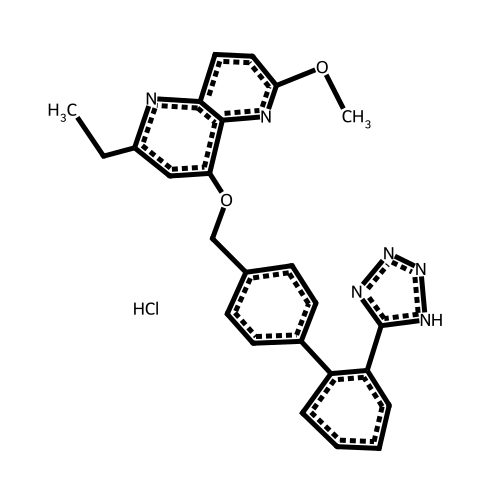 CCc1cc(OCc2ccc(-c3ccccc3-c3nnn[nH]3)cc2)c2nc(OC)ccc2n1.Cl